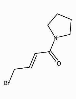 O=C(C=CCBr)N1CCCC1